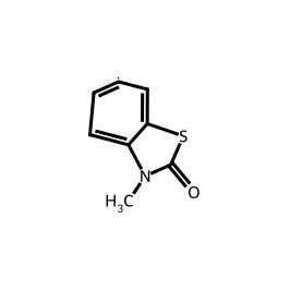 Cn1c(=O)sc2c[c]ccc21